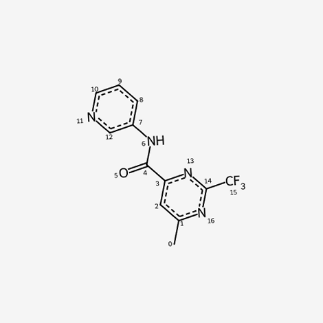 Cc1cc(C(=O)Nc2cccnc2)nc(C(F)(F)F)n1